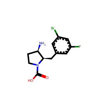 N[C@@H]1CCN(C(=O)O)[C@@H]1Cc1cc(F)cc(Br)c1